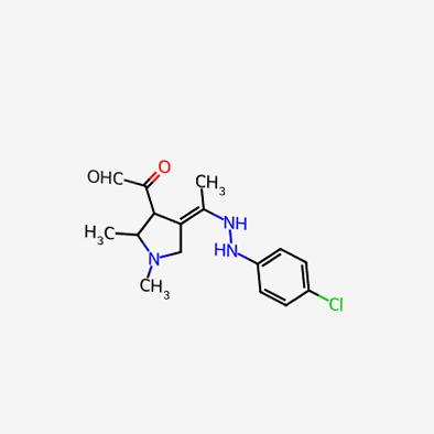 CC(NNc1ccc(Cl)cc1)=C1CN(C)C(C)C1C(=O)C=O